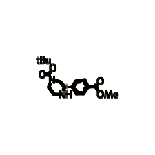 COC(=O)c1ccc([C@H]2CN(C(=O)OC(C)(C)C)CCN2)cc1